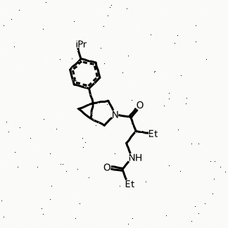 CCC(=O)NCC(CC)C(=O)N1CC2CC2(c2ccc(C(C)C)cc2)C1